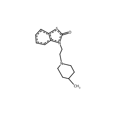 CC1CCN(CCn2c(=O)sc3ccccc32)CC1